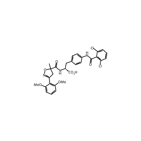 COc1cccc(OC)c1C1=NOC(C)(C(=O)N[C@@H](Cc2ccc(NC(=O)c3c(Cl)cccc3Cl)cc2)C(=O)O)C1